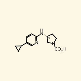 O=C(O)N1CC[C@@H](Nc2ccc(C3CC3)cn2)C1